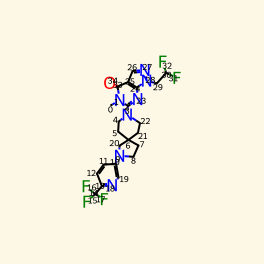 Cn1c(N2CCC3(CCN(c4ccc(C(F)(F)F)nc4)C3)CC2)nc2c(cnn2CC(F)F)c1=O